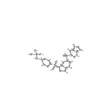 O=S(=O)(c1ccc(OC(F)(F)F)cc1)n1ccc2cnc(Nc3ccc4ncsc4c3)cc21